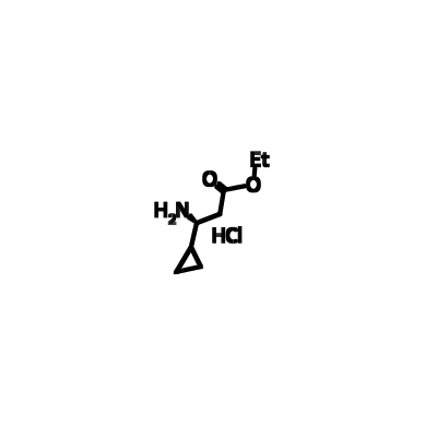 CCOC(=O)C[C@H](N)C1CC1.Cl